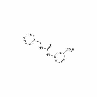 O=C(NCc1ccncc1)Nc1cccc(C(=O)O)c1